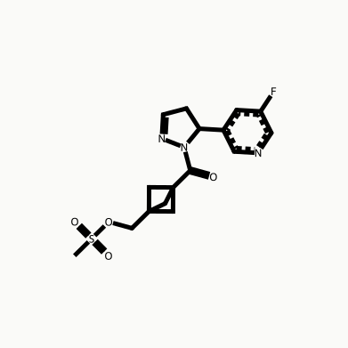 CS(=O)(=O)OCC12CC(C(=O)N3N=CCC3c3cncc(F)c3)(C1)C2